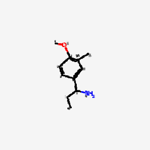 CCC(N)c1ccc(OC)c(C)c1